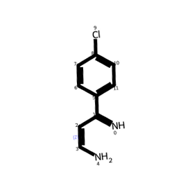 N=C(/C=C\N)c1ccc(Cl)cc1